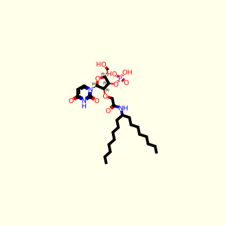 CCCCCCCCC(CCCCCCCC)NC(=O)CO[C@@H]1[C@H](OP(=O)(O)O)[C@@H](CO)O[C@H]1n1ccc(=O)[nH]c1=O